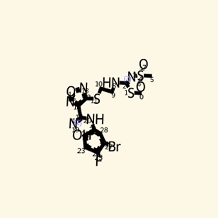 CS/C(=N\S(C)(=O)=O)NCCSc1nonc1/C(=N/O)Nc1ccc(F)c(Br)c1